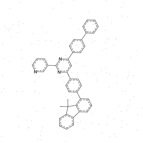 CC1(C)c2ccccc2-c2cccc(-c3ccc(-c4cc(-c5ccc(-c6ccccc6)cc5)nc(-c5cccnc5)n4)cc3)c21